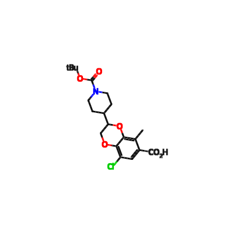 Cc1c(C(=O)O)cc(Cl)c2c1OC(C1CCN(C(=O)OC(C)(C)C)CC1)CO2